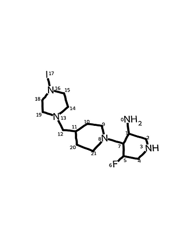 NC1CNCC(F)C1N1CCC(CN2CCN(I)CC2)CC1